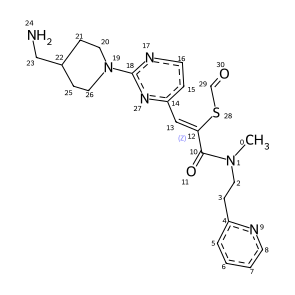 CN(CCc1ccccn1)C(=O)/C(=C/c1ccnc(N2CCC(CN)CC2)n1)SC=O